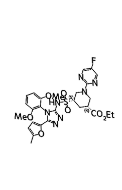 CCOC(=O)[C@@H]1C[C@H](S(=O)(=O)Nc2nnc(-c3ccc(C)o3)n2-c2c(OC)cccc2OC)CN(c2ncc(F)cn2)C1